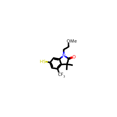 COCCN1C(=O)C(C)(C)c2c1cc(S)cc2C(F)(F)F